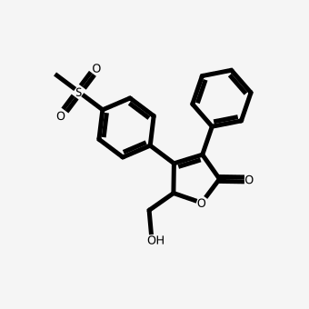 CS(=O)(=O)c1ccc(C2=C(c3ccccc3)C(=O)OC2CO)cc1